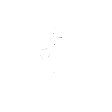 CCCN(CCC)CCc1ccc(S)c(CCN(CCC)CCC)c1